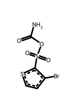 NC(=O)OS(=O)(=O)c1sccc1Br